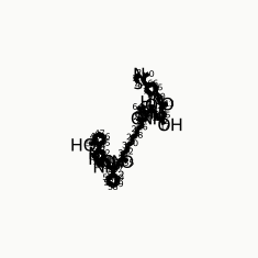 Cc1ncsc1-c1ccc(CNC(=O)C2CC(O)CN2C(=O)C(NC(=O)CCCCCCCCC(=O)NCC(COc2cc(-c3ccccc3O)nnc2N)c2ccccc2)C(C)(C)C)cc1